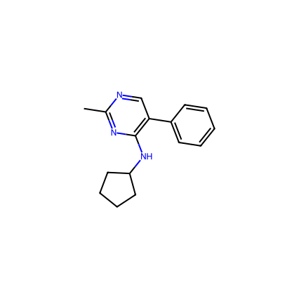 Cc1ncc(-c2ccccc2)c(NC2CCCC2)n1